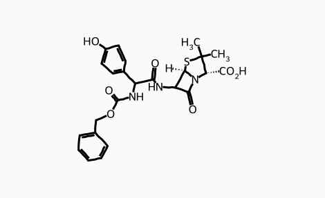 CC1(C)S[C@@H]2C(NC(=O)C(NC(=O)OCc3ccccc3)c3ccc(O)cc3)C(=O)N2[C@H]1C(=O)O